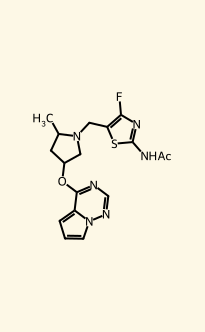 CC(=O)Nc1nc(F)c(CN2CC(Oc3ncnn4cccc34)CC2C)s1